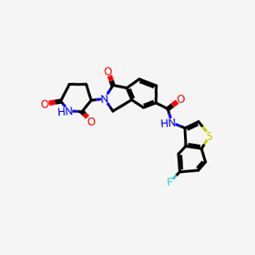 O=C1CCC(N2Cc3cc(C(=O)Nc4csc5ccc(F)cc45)ccc3C2=O)C(=O)N1